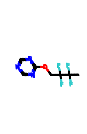 CC(F)(F)C(F)(F)COc1ncncn1